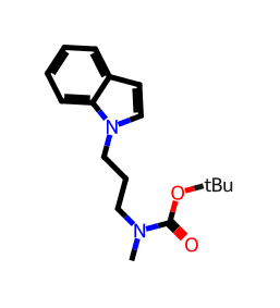 CN(CCCn1ccc2ccccc21)C(=O)OC(C)(C)C